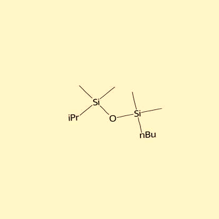 CCCC[Si](C)(C)O[Si](C)(C)C(C)C